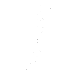 NC[C@H](NC(=O)c1ccc(C#Cc2ccc(NC(=O)C3CCCN3)cc2)cc1)C(=O)NO